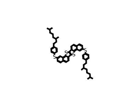 CC(C)CCCC(C)CCc1ccc(Sc2ccc3ccc4c(sc5c6ccc7ccc(Sc8ccc(CCC(C)CCCC(C)C)cc8)cc7c6sc45)c3c2)cc1